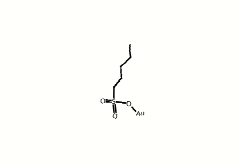 CCCCCS(=O)(=O)[O][Au]